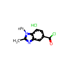 CCCn1c(C)nc2cc(C(=O)Cl)ccc21.Cl